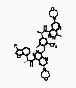 Cc1cc([C@@H](C)Nc2nnc(C)c3ncc(N4CCOCC4)cc23)cc(C(F)(F)F)c1Cc1nnc(N[C@H](C)c2cccc3c(F)coc23)c2cc(N3CCOCC3)cnc12